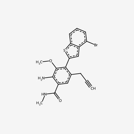 C#CCc1cc(C(=O)NC)c(N)c(OC)c1-c1cc2c(Br)cccc2s1